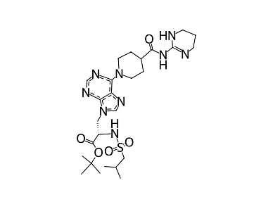 CC(C)CS(=O)(=O)N[C@@H](Cn1cnc2c(N3CCC(C(=O)NC4=NCCCN4)CC3)ncnc21)C(=O)OC(C)(C)C